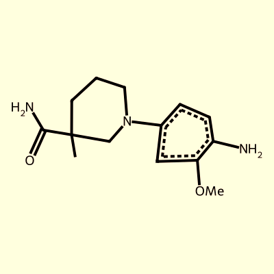 COc1cc(N2CCCC(C)(C(N)=O)C2)ccc1N